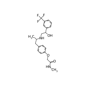 CNC(=O)COc1ccc(CC(C)NCC(O)c2cccc(C(F)(F)F)c2)cc1